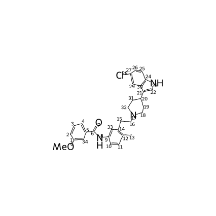 COc1cccc(C(=O)Nc2ccc(C)c(CCN3CCC(c4c[nH]c5ccc(Cl)cc45)CC3)c2)c1